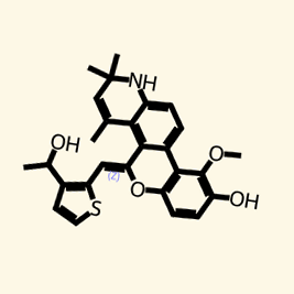 COc1c(O)ccc2c1-c1ccc3c(c1/C(=C/c1sccc1C(C)O)O2)C(C)=CC(C)(C)N3